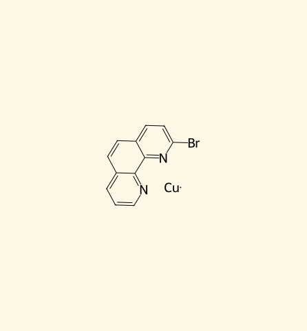 Brc1ccc2ccc3cccnc3c2n1.[Cu]